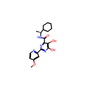 COc1ccnc(-c2nc(O)c(O)c(C(=O)N[C@@H](C)C3CCCCC3)n2)c1